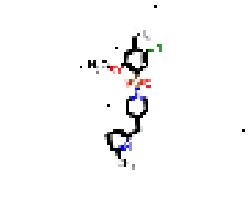 COc1cc(C)c(Cl)cc1S(=O)(=O)N1CCC(=Cc2cccc(C)n2)CC1